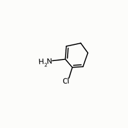 NC1=CCCC=C1Cl